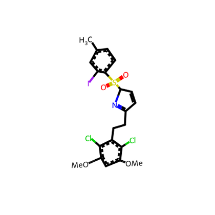 COc1cc(OC)c(Cl)c(CCC2=NC(S(=O)(=O)c3ccc(C)cc3I)C=C2)c1Cl